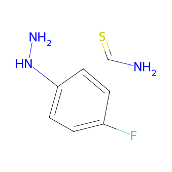 NC=S.NNc1ccc(F)cc1